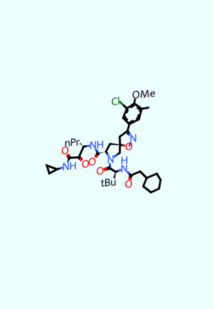 CCC[C@H](NC(=O)[C@@H]1C[C@]2(CC(c3cc(C)c(OC)c(Cl)c3)=NO2)CN1C(=O)[C@@H](NC(=O)CC1CCCCC1)C(C)(C)C)C(=O)C(=O)NC1CC1